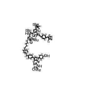 COCC(C)Nc1ncc2c(-c3ccc(CN4CCN(CCCCCN(CCN[C@H](C(=O)N5CC(O[Si](C)(C)C(C)(C)C)C[C@H]5C(=O)NCc5ccc(-c6scnc6C)cc5)C(C)(C)C)C(=O)OC(C)(C)C)CC4)cc3)cn([C@H]3CC[C@H](O)CC3)c2n1